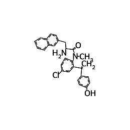 C=C(c1ccc(O)cc1)c1cc(Cl)ccc1N(C)C(=O)C(N)Cc1ccc2ccccc2c1